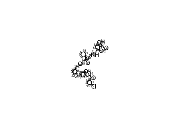 O=C1COc2c(CCNCCN(C(=O)CCOCCc3cccc(CN4CCC5(CC4)CN(C(=O)c4cccc(Cl)c4)CCO5)c3)C3CCCCC3)ccc(O)c2N1